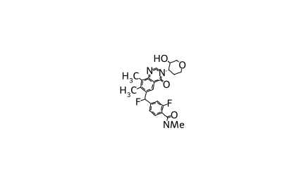 CNC(=O)c1ccc(C(F)c2cc3c(=O)n([C@H]4CCOC[C@@H]4O)cnc3c(C)c2C)cc1F